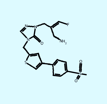 CS(=O)(=O)c1ccc(-c2csc(Cn3cnn(C/C(=C/F)CN)c3=O)c2)cc1